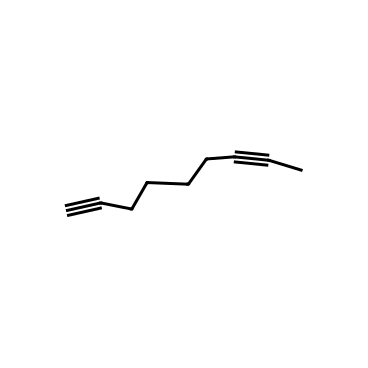 C#CCCCCC#CC